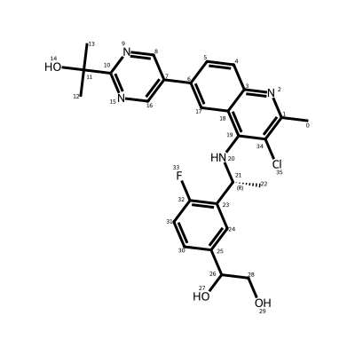 Cc1nc2ccc(-c3cnc(C(C)(C)O)nc3)cc2c(N[C@H](C)c2cc(C(O)CO)ccc2F)c1Cl